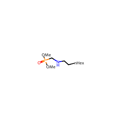 CCCCCCCCNCP(=O)(OC)OC